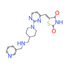 O=C1NC(=O)C(=Cc2ccnc(N3CCC(CNCc4cccnc4)CC3)n2)S1